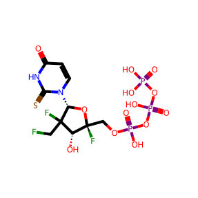 O=c1ccn([C@@H]2O[C@](F)(COP(=O)(O)OP(=O)(O)OP(=O)(O)O)[C@H](O)C2(F)CF)c(=S)[nH]1